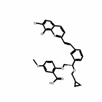 COc1ccc(OC[C@H](OCC2CC2)c2cccc(/C=C/c3ccc4ccc(Cl)c(Cl)c4n3)c2)c(C(=O)O)c1